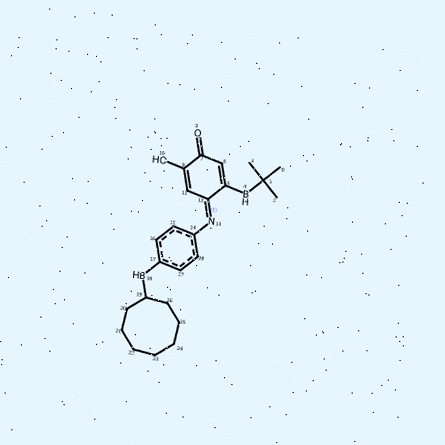 CC(C)(C)BC1=CC(=O)C(O)=C/C1=N\c1ccc(BC2CCCCCCC2)cc1